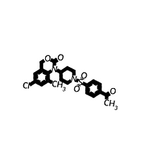 CC(=O)c1ccc(S(=O)(=O)N2CCC(N3C(=O)OCc4cc(Cl)cc(C)c43)CC2)cc1